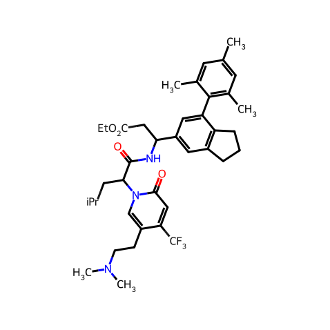 CCOC(=O)CC(NC(=O)C(CC(C)C)n1cc(CCN(C)C)c(C(F)(F)F)cc1=O)c1cc2c(c(-c3c(C)cc(C)cc3C)c1)CCC2